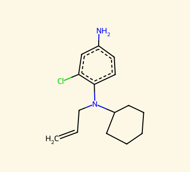 C=CCN(c1ccc(N)cc1Cl)C1CCCCC1